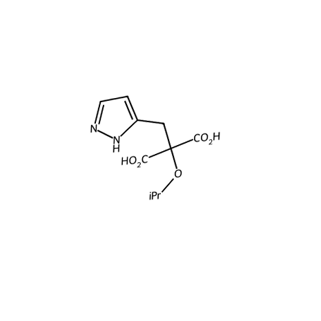 CC(C)OC(Cc1ccn[nH]1)(C(=O)O)C(=O)O